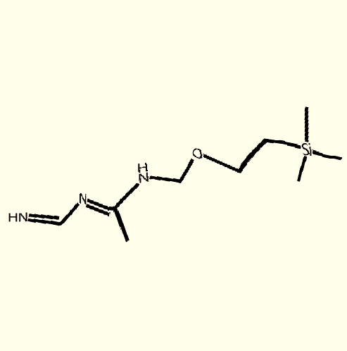 C/C(=N\C=N)NCOCC[Si](C)(C)C